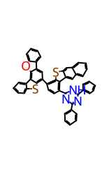 c1ccc(C2=NC(c3ccccc3)NC(c3ccc(-c4cc5c6ccccc6oc5c5c4sc4ccccc45)c4sc5cc6ccccc6cc5c34)=N2)cc1